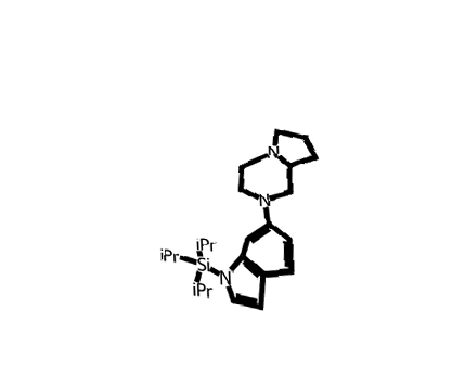 CC(C)[Si](C(C)C)(C(C)C)n1ccc2ccc(N3CCN4CCCC4C3)cc21